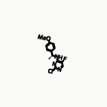 COc1ccc([C@@H](C)Nc2nc(Cl)ncc2F)cc1